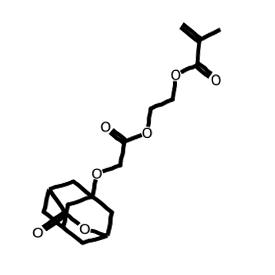 C=C(C)C(=O)OCCOC(=O)COC12CC3CC(C1)OC(=O)C(C3)C2